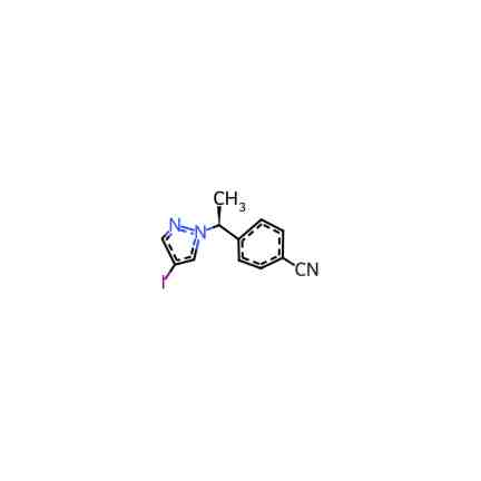 C[C@@H](c1ccc(C#N)cc1)n1cc(I)cn1